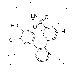 Cc1ccc(-c2cccnc2-c2cc(F)cc(S(N)(=O)=O)c2)cc1Cl